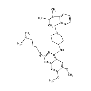 COc1cc2nc(NCCCN(C)C)nc(NC3CCN(Cc4ccccc4N(C)C(C)C)CC3)c2cc1OC